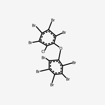 Clc1c(Br)c(Br)c(Br)c(Br)c1Oc1c(Br)c(Br)c(Br)c(Br)c1Br